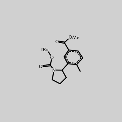 COC(=O)c1ccc(C)c(C2CCCN2C(=O)OC(C)(C)C)c1